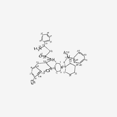 CC(=O)N(CC1(N2CCN(C(=O)C(Cc3ccc(Cl)cc3)NC(=O)CC(N)c3ccccc3)CC2)CCCCC1)c1ccccc1